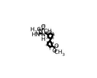 COC(=O)c1cccc(-c2cccc(C(C)NC(=N)N(C)C=O)c2)c1